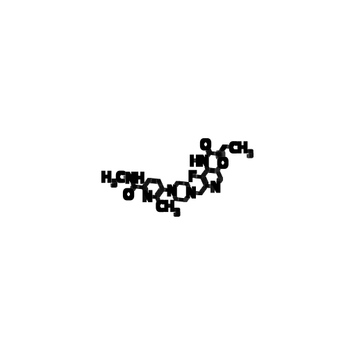 CC[C@H]1Oc2cnc(CN3CCN(c4ccc(C(=O)NC)nc4C)CC3)c(F)c2NC1=O